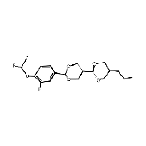 CCC[C@H]1CO[C@H]([C@H]2CO[C@H](c3ccc(OC(F)F)c(F)c3)OC2)OC1